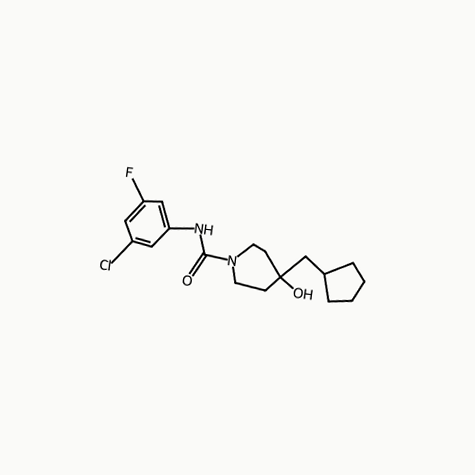 O=C(Nc1cc(F)cc(Cl)c1)N1CCC(O)(CC2CCCC2)CC1